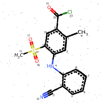 Cc1cc(Nc2ccccc2C#N)c(S(C)(=O)=O)cc1C(=O)Cl